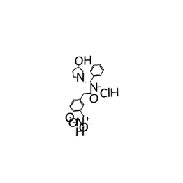 CN(C(=O)Cc1ccc2c(c1)C[NH+]([O-])OO2)[C@H](CN1CC[C@H](O)C1)c1ccccc1.Cl